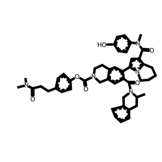 CC1Cc2ccccc2CN1C(=O)c1cc2c(cc1-c1cc(C(=O)N(C)c3ccc(O)cc3)c3n1CCCC3)CCN(C(=O)Oc1ccc(CCC(=O)N(C)C)cc1)C2